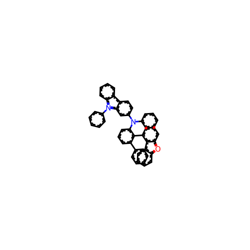 c1ccc(-c2cccc(N(c3ccccc3)c3ccc4c5ccccc5n(-c5ccccc5)c4c3)c2-c2cccc3oc4ccccc4c23)cc1